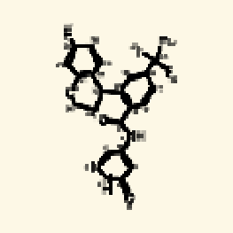 O=C(Nc1cn[nH]c(=O)c1)c1ccc(C(F)(F)F)cc1C1CCOc2cc(F)ccc21